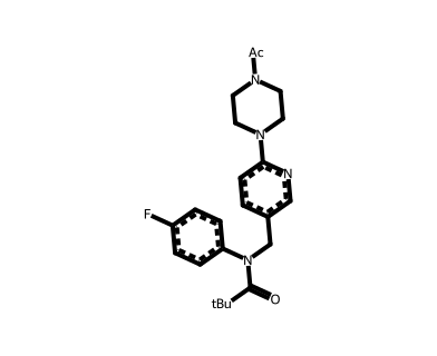 CC(=O)N1CCN(c2ccc(CN(C(=O)C(C)(C)C)c3ccc(F)cc3)cn2)CC1